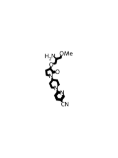 COC[C@H](N)COC1CCN(C2CCN(c3ccc(C#N)cn3)CC2)C1=O